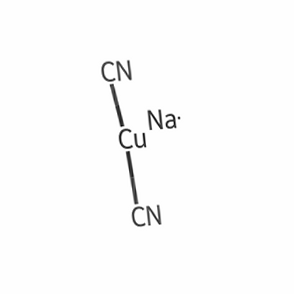 N#[C][Cu][C]#N.[Na]